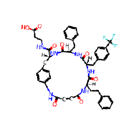 O=C(O)CCNC(=O)[C@H]1Cc2ccc(cc2)NC(=O)CCC(=O)N[C@H](CCc2ccccc2)C(=O)N[C@@H](Cc2ccc(C(F)(F)F)cc2)C(=O)N[C@H](Cc2ccccc2)C(=O)N1